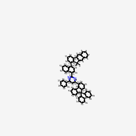 CC1(C)c2cc3ccccc3cc2-c2cccc(-c3ccc(-c4nc(-c5ccccc5)cc(-c5cccc6c5-c5ccccc5C6(c5ccccc5)c5ccccc5)n4)c4ccccc34)c21